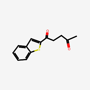 CC(=O)CCC(=O)c1cc2ccccc2s1